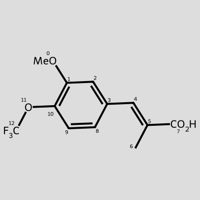 COc1cc(C=C(C)C(=O)O)ccc1OC(F)(F)F